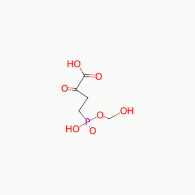 O=C(O)C(=O)CCP(=O)(O)OCO